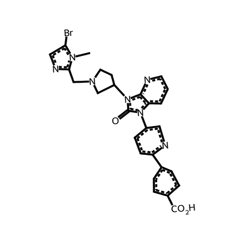 Cn1c(Br)cnc1CN1CCC(n2c(=O)n(-c3ccc(-c4ccc(C(=O)O)cc4)nc3)c3cccnc32)C1